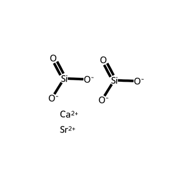 O=[Si]([O-])[O-].O=[Si]([O-])[O-].[Ca+2].[Sr+2]